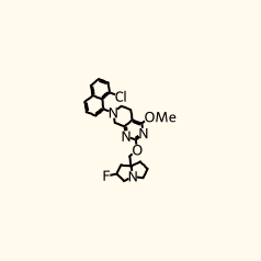 COc1nc(OCC23CCCN2CC(F)C3)nc2c1CCN(c1cccc3cccc(Cl)c13)C2